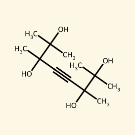 CC(C)(O)C(C)(O)C#CC(C)(O)C(C)(C)O